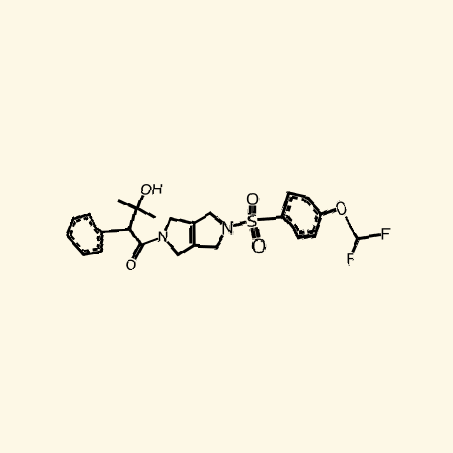 CC(C)(O)C(C(=O)N1CC2=C(C1)CN(S(=O)(=O)c1ccc(OC(F)F)cc1)C2)c1ccccc1